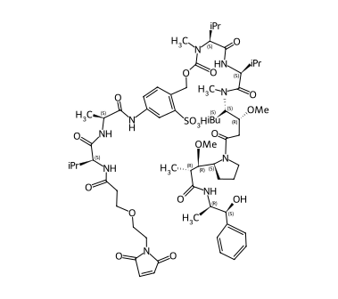 CC[C@H](C)[C@@H]([C@@H](CC(=O)N1CCC[C@H]1[C@H](OC)[C@@H](C)C(=O)N[C@H](C)[C@@H](O)c1ccccc1)OC)N(C)C(=O)[C@@H](NC(=O)[C@H](C(C)C)N(C)C(=O)OCc1ccc(NC(=O)[C@H](C)NC(=O)[C@@H](NC(=O)CCOCCN2C(=O)C=CC2=O)C(C)C)cc1S(=O)(=O)O)C(C)C